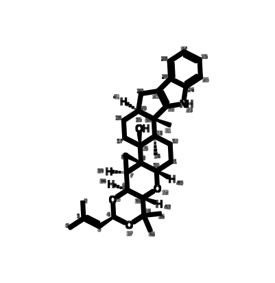 CC(C)=C[C@H]1O[C@H]2[C@H]3C[C@@]34[C@H](CC[C@@]3(C)[C@@]4(O)CC[C@H]4Cc5c([nH]c6ccccc56)[C@@]43C)O[C@@H]2C(C)(C)O1